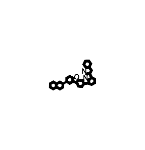 c1ccc2cc(-c3ccc4oc5c(ccc6c7cccc8c9cc%10ccccc%10nc9n(c87)c65)c4c3)ccc2c1